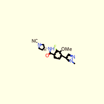 COc1c(-c2cnn(C)c2)ccc(C(=O)N[C@@H]2CCN(C#N)C2)c1F